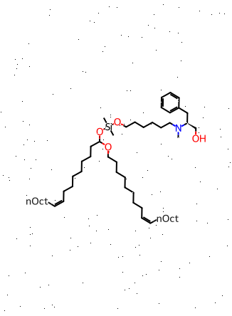 CCCCCCCC/C=C\CCCCCCCCOC(CCCCCCC/C=C\CCCCCCCC)O[Si](C)(C)OCCCCCCN(C)[C@H](CO)Cc1ccccc1